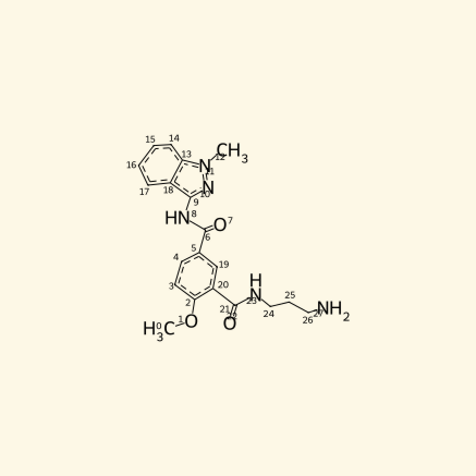 COc1ccc(C(=O)Nc2nn(C)c3ccccc23)cc1C(=O)NCCCN